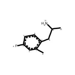 Cc1cc(F)ccc1CC(C)N